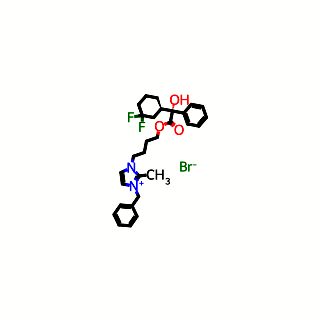 Cc1n(CCCCOC(=O)[C@](O)(c2ccccc2)[C@@H]2CCCC(F)(F)C2)cc[n+]1Cc1ccccc1.[Br-]